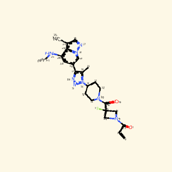 C=CC(=O)N1CC(F)(C(=O)N2CCC(n3nnc(-c4cc(NCCC)c5c(C#N)cnn5c4)c3C)CC2)C1